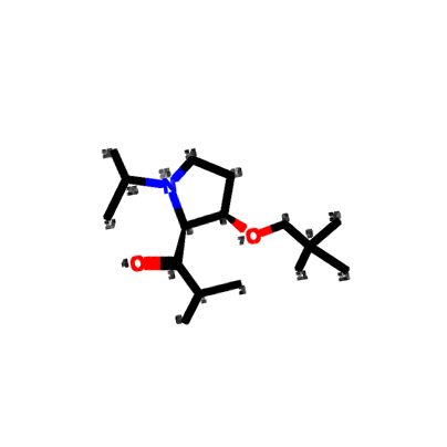 CC(C)C(=O)[C@@H]1[C@H](OCC(C)(C)C)CCN1C(C)C